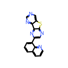 c1cnc2c(-c3cnc4sc5cncnc5c4n3)cccc2c1